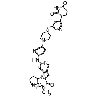 CN(C)C(=O)c1cc2cnc(Nc3ccc(N4CCN(Cc5cncc(C6CCC(=O)NC6=O)c5)CC4)cn3)nc2n1C1CCCC1